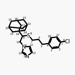 Clc1ccc(CCCSC(Cn2ccnc2)C23CC4CC(CC(C4)C2)C3)cc1